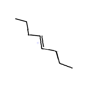 CC[CH]/C=C/CCC